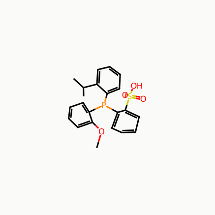 COc1ccccc1P(c1ccccc1C(C)C)c1ccccc1S(=O)(=O)O